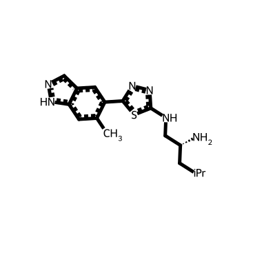 Cc1cc2[nH]ncc2cc1-c1nnc(NC[C@H](N)CC(C)C)s1